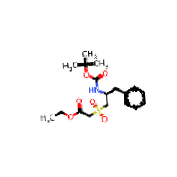 CCOC(=O)CS(=O)(=O)C[C@H](Cc1ccccc1)NC(=O)OC(C)(C)C